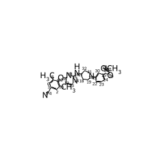 Cc1cc(C#N)cc(C)c1Oc1ccnc(NC2CCN(c3cccc(S(C)(=O)=O)c3)CC2)n1